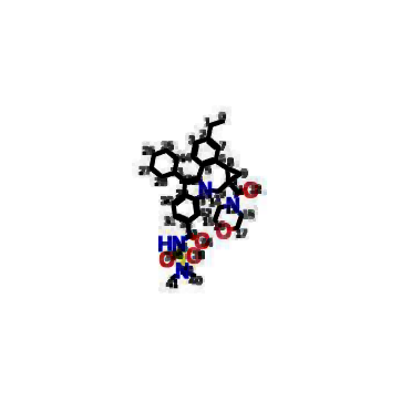 CCc1ccc2c(c1)C1CC1(C(=O)N1CCOCC1)Cn1c-2c(C2CCCCC2)c2ccc(C(=O)NS(=O)(=O)N(C)C)cc21